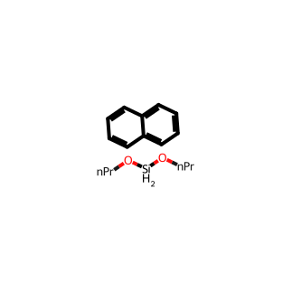 CCCO[SiH2]OCCC.c1ccc2ccccc2c1